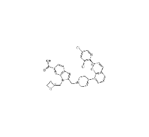 O=C(O)c1ccc2nc(CN3CC=C(c4cccc5c4O[C@@H](c4ncc(Cl)cc4Cl)C=C5)CC3)n(C[C@@H]3CCO3)c2c1